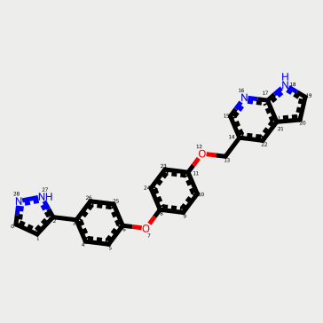 c1cc(-c2ccc(Oc3ccc(OCc4cnc5[nH]ccc5c4)cc3)cc2)[nH]n1